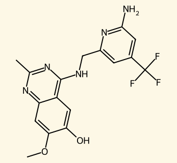 COc1cc2nc(C)nc(NCc3cc(C(F)(F)F)cc(N)n3)c2cc1O